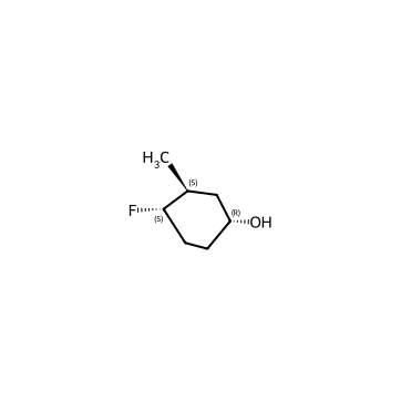 C[C@H]1C[C@H](O)CC[C@@H]1F